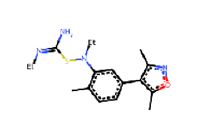 CC/N=C(/N)SN(CC)c1cc(-c2c(C)noc2C)ccc1C